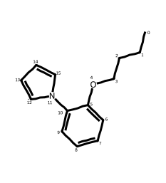 CCCCOc1ccccc1-n1[c]ccc1